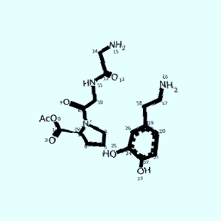 CC(=O)OC(=O)[C@@H]1CCCN1C(=O)CNC(=O)CN.NCCc1ccc(O)c(O)c1